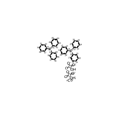 [Co].[O-][Cl+3]([O-])([O-])O.[O-][Cl+3]([O-])([O-])O.c1ccc(P(c2ccccc2)c2ccccc2)cc1.c1ccc(P(c2ccccc2)c2ccccc2)cc1